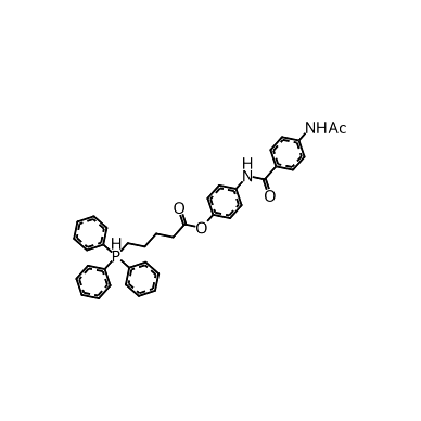 CC(=O)Nc1ccc(C(=O)Nc2ccc(OC(=O)CCCC[PH](c3ccccc3)(c3ccccc3)c3ccccc3)cc2)cc1